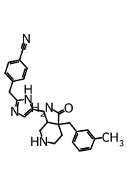 Cc1cccc(CC2(C(N)=O)CCNCC2Cc2cnc(Cc3ccc(C#N)cc3)[nH]2)c1